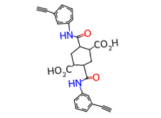 C#Cc1cccc(NC(=O)C2CC(C(=O)O)C(C(=O)Nc3cccc(C#C)c3)CC2C(=O)O)c1